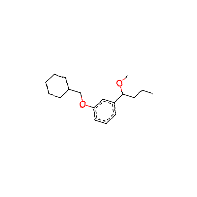 CCCC(OC)c1cccc(OCC2CCCCC2)c1